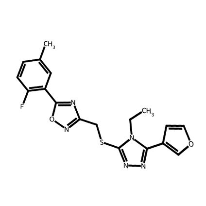 CCn1c(SCc2noc(-c3cc(C)ccc3F)n2)nnc1-c1ccoc1